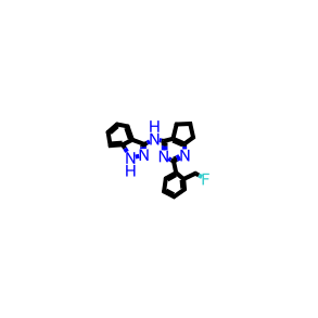 FCc1ccccc1-c1nc2c(c(Nc3n[nH]c4ccccc34)n1)CCC2